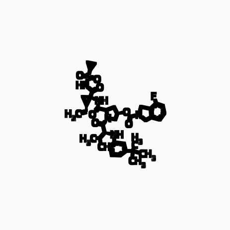 C=C[C@@H]1C[C@]1(NC(=O)C1C[C@@H](OC(=O)N2Cc3cccc(F)c3C2)CN1C(=O)[C@@H](Nc1cccc(C(C)(C)C)c1)C(C)C)C(=O)NS(=O)(=O)C1CC1